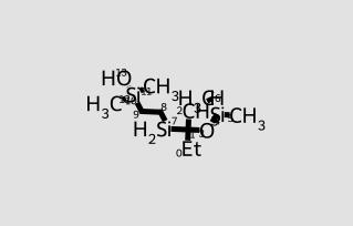 CCC(C)(O[SiH](C)C)[SiH2]CC[Si](C)(C)O